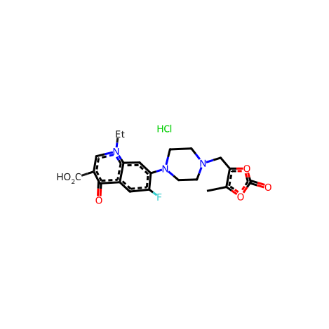 CCn1cc(C(=O)O)c(=O)c2cc(F)c(N3CCN(Cc4oc(=O)oc4C)CC3)cc21.Cl